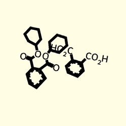 O=C(O)c1ccccc1C(=O)O.O=C(OC1CCCCC1)c1ccccc1C(=O)OC1CCCCC1